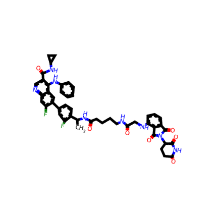 CC(NC(=O)CCCCNC(=O)CNc1cccc2c1C(=O)N(C1CCC(=O)NC1=O)C2=O)c1ccc(-c2cc3c(Nc4ccccc4)c(C(=O)NC4CC4)cnc3cc2F)cc1F